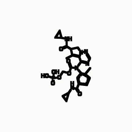 CC1=C2C(N(C(=O)OCOP(=O)(O)O)c3cc(C(=O)NC4CC4)ccc3C)=NC=NN2CC1C(=O)NC1CC1